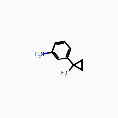 Nc1cccc(C2(C(F)(F)F)CC2)c1